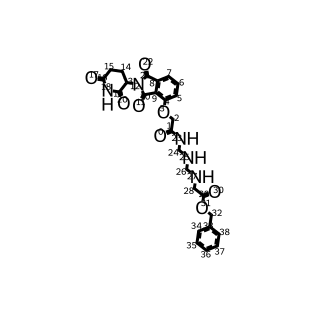 O=C(COc1cccc2c1C(=O)N(C1CCC(=O)NC1=O)C2=O)NCNCNCC(=O)OCc1ccccc1